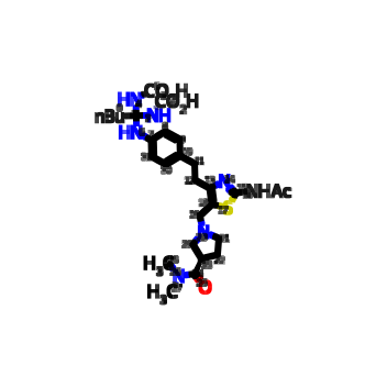 CCCCC(NC(=O)O)(NC(=O)O)Nc1ccc(CCc2nc(NC(C)=O)sc2CN2CC[C@@H](C(=O)N(C)C)C2)cc1